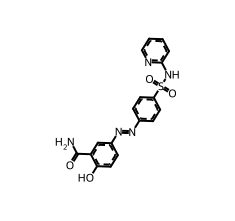 NC(=O)c1cc(/N=N/c2ccc(S(=O)(=O)Nc3ccccn3)cc2)ccc1O